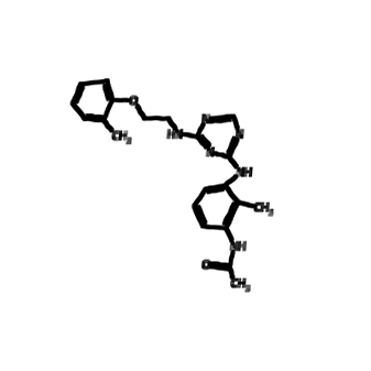 CC(=O)Nc1cccc(Nc2ncnc(NCCOc3ccccc3C)n2)c1C